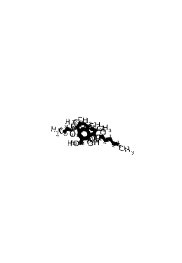 CCCCCC(=O)O[C@H]1C(C)=C[C@]23C(=O)[C@@H](C=C(CO)[C@@H](O)[C@]12O)[C@@H](OC(=O)CCC)C(C)(C)C[C@H]3C